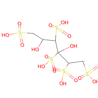 O=S(=O)(O)[CH]C(C(O)(C(C(O)CS(=O)(=O)O)S(=O)(=O)O)S(=O)(=O)O)S(=O)(=O)O